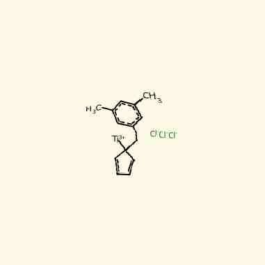 Cc1cc(C)cc(C[C]2([Ti+3])C=CC=C2)c1.[Cl-].[Cl-].[Cl-]